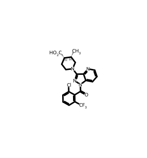 C[C@@H]1CN(c2nn(C(=O)c3c(Cl)cccc3C(F)(F)F)c3cccnc23)CC[C@@H]1C(=O)O